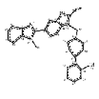 CCCc1nc2cc(-c3nc4ccccc4n3C)ccc2n1Cc1ccc(-c2ccccc2C#N)cc1